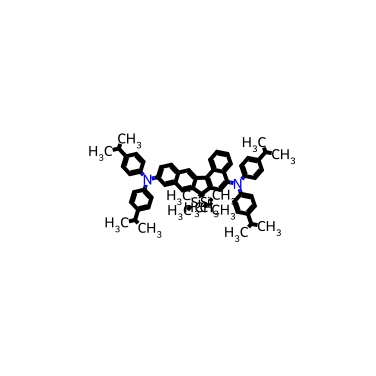 CC(C)c1ccc(N(c2ccc(C(C)C)cc2)c2ccc3cc4c(cc3c2)C([Si](C)(C)C)([Si](C)(C)C)c2cc(N(c3ccc(C(C)C)cc3)c3ccc(C(C)C)cc3)c3ccccc3c2-4)cc1